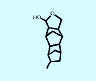 CC1CC2CC1C1C3CC(C4COC(O)C43)C21